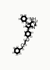 Nc1ncnc2c(-c3ccc(OCCOCc4ccccc4)cc3)cn(-c3ccccc3)c12